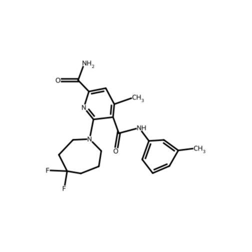 Cc1cccc(NC(=O)c2c(C)cc(C(N)=O)nc2N2CCCC(F)(F)CC2)c1